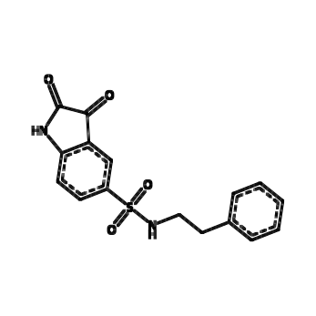 O=C1Nc2ccc(S(=O)(=O)NCCc3ccccc3)cc2C1=O